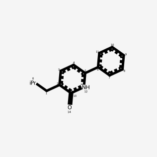 CC(C)Cc1ccc(-c2ccccc2)[nH]c1=O